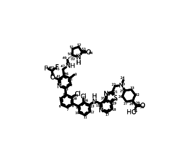 Cc1cc(-c2cccc(-c3cccc(Nc4nccc5sc(CN(C)C6CCC(C(=O)O)CC6)nc45)c3Cl)c2Cl)nc(OC(F)F)c1CNC[C@@H]1CCC(=O)N1